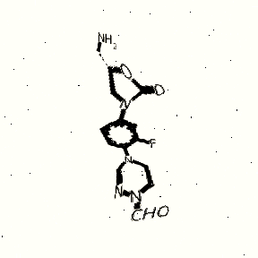 NC[C@H]1CN(c2ccc(N3C=NN(C=O)CC3)c(F)c2)C(=O)O1